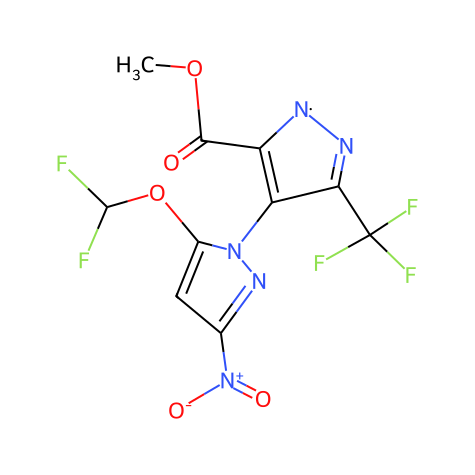 COC(=O)C1=C(n2nc([N+](=O)[O-])cc2OC(F)F)C(C(F)(F)F)=N[N]1